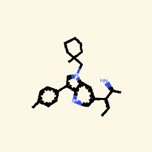 C/C=C(/C(C)=N)c1cnc2c(-c3ccc(C)cc3)cn(CC3(C)CCCCC3)c2c1